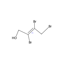 OC/C(Br)=C(\Br)CBr